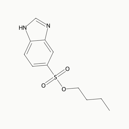 CCCCOS(=O)(=O)c1ccc2[nH]cnc2c1